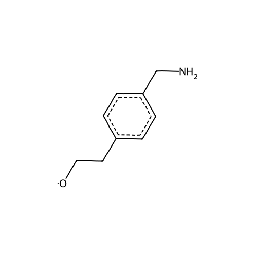 NCc1ccc(CC[O])cc1